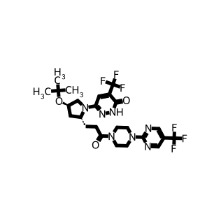 CC(C)(C)O[C@@H]1C[C@@H](CCC(=O)N2CCN(c3ncc(C(F)(F)F)cn3)CC2)N(c2cc(C(F)(F)F)c(=O)[nH]n2)C1